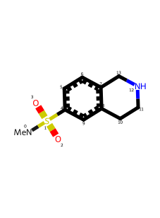 CNS(=O)(=O)c1ccc2c(c1)CCNC2